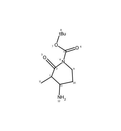 CC1C(=O)N(C(=O)OC(C)(C)C)CCC1N